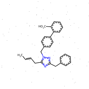 C/C=C/Cc1nc(Cc2ccccc2)nn1Cc1ccc(-c2ccccc2C(=O)O)cc1